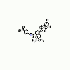 CCN(CC)c1ccc(/C=C/C(=O)c2ccc(OC(=O)C3[C@H]4C[C@H]5C[C@H](C4)C[C@H]3C5)c3c2OC(C)(C)C=C3)cc1